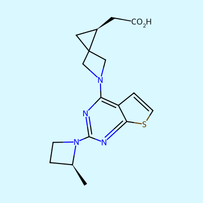 C[C@H]1CCN1c1nc(N2CC3(C[C@H]3CC(=O)O)C2)c2ccsc2n1